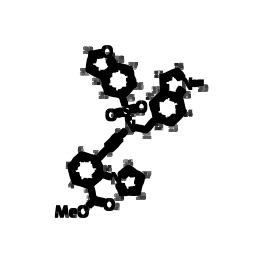 COC(=O)c1cccc(C#CN(Cc2ccc3c(ccn3C)c2)S(=O)(=O)c2ccc3occc3c2)c1-n1cccc1